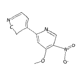 COc1cc(C2=CC=NCC2)ncc1[N+](=O)[O-]